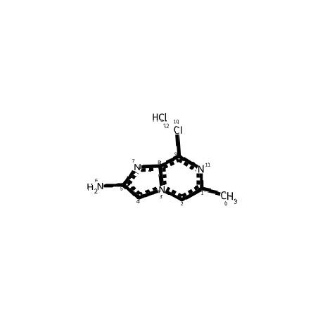 Cc1cn2cc(N)nc2c(Cl)n1.Cl